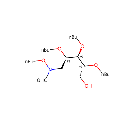 CCCCO[C@@H]([C@@H](CO)OCCCC)[C@@H](CN(C=O)OCCCC)OCCCC